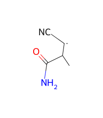 CC([CH]C#N)C(N)=O